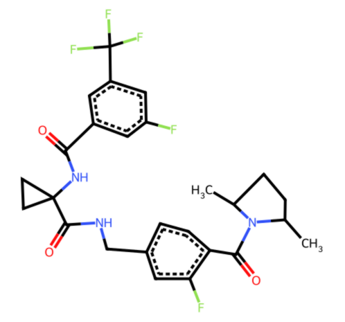 CC1CCC(C)N1C(=O)c1ccc(CNC(=O)C2(NC(=O)c3cc(F)cc(C(F)(F)F)c3)CC2)cc1F